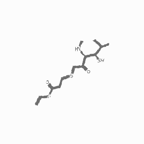 CCOC(=O)CCSCC(=O)[C@@H](NC)[C@H](S)C(C)C